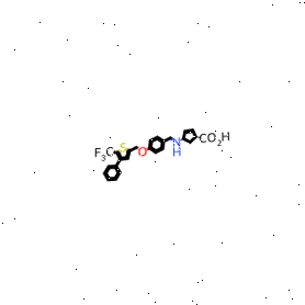 O=C(O)[C@H]1C=C[C@@H](NCc2ccc(OCc3cc(-c4ccccc4)c(C(F)(F)F)s3)cc2)C1